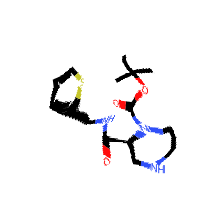 CC(C)(C)OC(=O)N1CCNC[C@H]1C(=O)NCc1cccs1